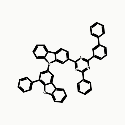 c1ccc(-c2cccc(-c3nc(-c4ccccc4)nc(-c4ccc5c6ccccc6n(-c6cc(-c7ccccc7)c7oc8ccccc8c7c6)c5c4)n3)c2)cc1